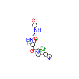 COC1CCC(NC/C=C/C(=O)Nc2c(F)cc(C(=O)c3ccc4c(-c5cc6ncccc6cc5C(F)(F)F)cccn34)cc2F)CC1